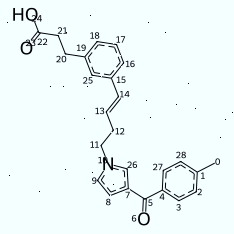 Cc1ccc(C(=O)c2ccn(CC/C=C/c3cccc(CCC(=O)O)c3)c2)cc1